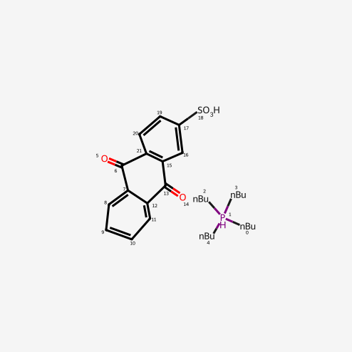 CCCC[PH](CCCC)(CCCC)CCCC.O=C1c2ccccc2C(=O)c2cc(S(=O)(=O)O)ccc21